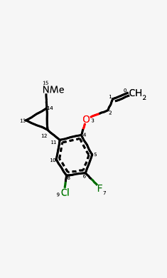 C=CCOc1cc(F)c(Cl)cc1C1CC1NC